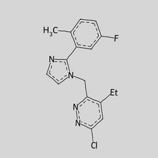 CCc1cc(Cl)nnc1Cn1ccnc1-c1cc(F)ccc1C